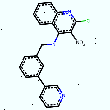 O=[N+]([O-])c1c(Cl)nc2ccccc2c1NCc1cccc(-c2cccnc2)c1